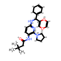 CC(C)(C)CC(=O)Nc1ccc(NC(C2=CC=CCC2)C2=COC=CO2)nc1N1CCCC1